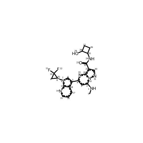 CNc1cc(-c2cn([C@H]3CC3(F)F)c3ncccc23)nc2c(C(=O)NC3CCC3O)cnn12